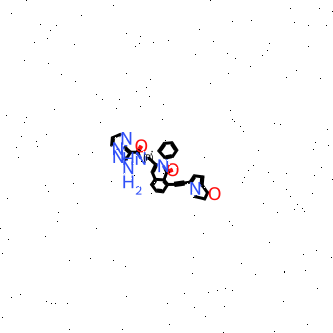 C[C@@H](NC(=O)c1c(N)nn2cccnc12)c1cc2cccc(C#Cc3ccc4n3CCC4=O)c2c(=O)n1-c1ccccc1